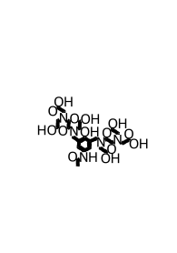 CC(=O)Nc1cc(CN(CCN(CC(=O)O)CC(=O)O)CC(=O)O)c(O)c(CN(CCN(CC(=O)O)CC(=O)O)CC(=O)O)c1